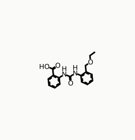 CCOCc1ccccc1NC(=O)Nc1ccccc1C(=O)O